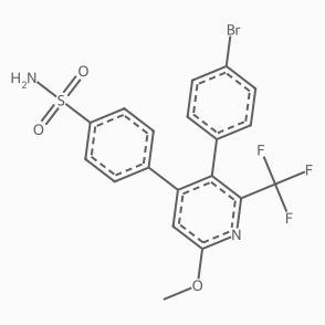 COc1cc(-c2ccc(S(N)(=O)=O)cc2)c(-c2ccc(Br)cc2)c(C(F)(F)F)n1